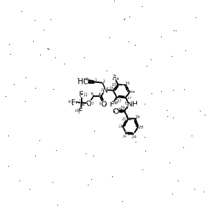 C#CCN(C(=O)COC(F)(F)F)c1c(F)ccc(NC(=O)c2ccccc2)c1F